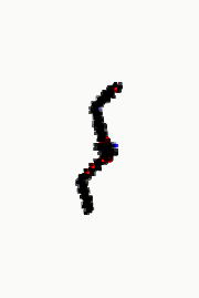 CCCCCCCC/C=C\CCCCCCCCOC(C)[N+](C)(C)C(C)OCCCCCCCC/C=C\CCCCCCCC